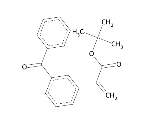 C=CC(=O)OC(C)(C)C.O=C(c1ccccc1)c1ccccc1